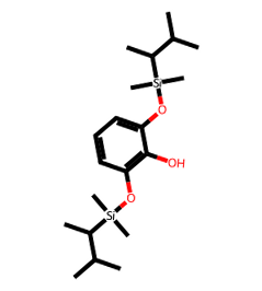 CC(C)C(C)[Si](C)(C)Oc1cccc(O[Si](C)(C)C(C)C(C)C)c1O